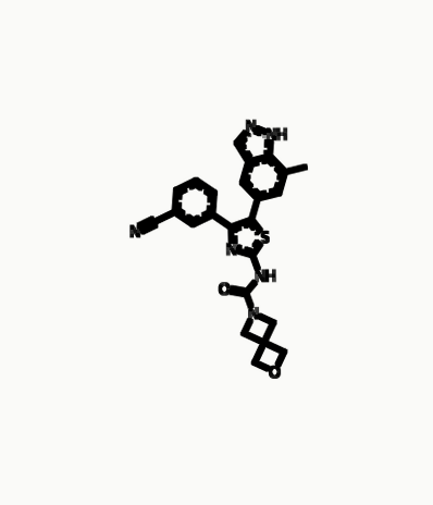 Cc1cc(-c2sc(NC(=O)N3CC4(COC4)C3)nc2-c2cccc(C#N)c2)cc2cn[nH]c12